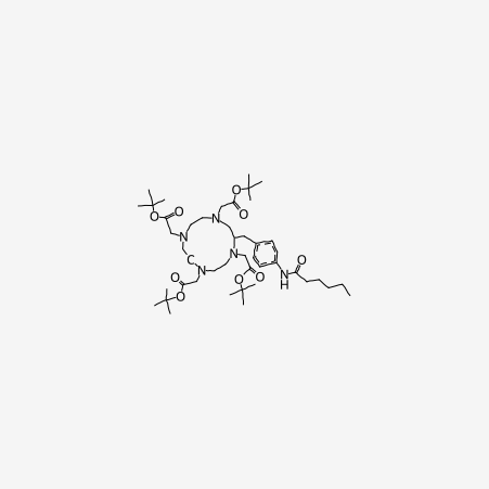 CCCCCC(=O)Nc1ccc(CC2CN(CC(=O)OC(C)(C)C)CCN(CC(=O)OC(C)(C)C)CCN(CC(=O)OC(C)(C)C)CCN2CC(=O)OC(C)(C)C)cc1